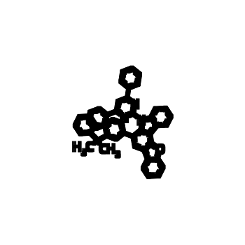 CC1(C)c2ccccc2-c2ccc(-c3cc4c5ccccc5oc4c4c5ccccc5n(-c5nc(-c6ccccc6)cc(-c6ccccc6)n5)c34)cc21